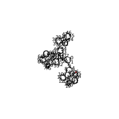 c1cc(-c2ccc3c(c2)-c2ccccc2C32c3ccccc3Oc3ccccc32)cc(N(c2ccc(-c3cccc4c3oc3ccccc34)cc2)c2ccc3c(c2)C2(c4ccccc4Oc4ccccc42)c2ccccc2-3)c1